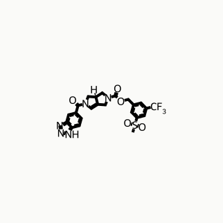 CS(=O)(=O)c1cc(COC(=O)N2CC3=CN(C(=O)c4ccc5[nH]nnc5c4)C[C@H]3C2)cc(C(F)(F)F)c1